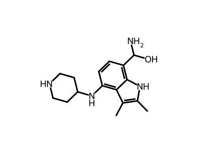 Cc1[nH]c2c(C(N)O)ccc(NC3CCNCC3)c2c1C